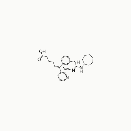 N#C/N=C(\Nc1cccc(/C(=C\CCCC(=O)O)c2cccnc2)c1)NC1CCCCCC1